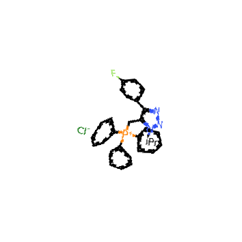 CC(C)n1nnc(-c2ccc(F)cc2)c1C[P+](c1ccccc1)(c1ccccc1)c1ccccc1.[Cl-]